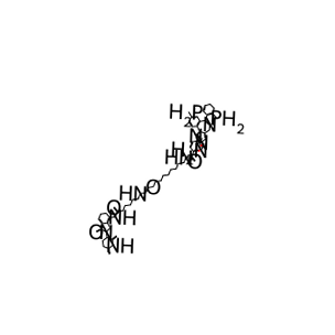 C=C1CCC(N2CC3=C(NC(=O)CCCCCNCCOCCCCCCCCNC(=O)C4=CCC(C)(\N=C5/C(=C\N=C\N)CN=C(C6=C(P)CCC=C6P)c6cc(C)ccc65)C=C4)CCC=C3C2=O)C(=C)N1